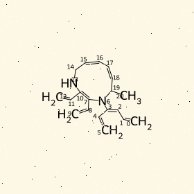 C=C/C=C(\C=C)N1/C(C=C)=C(/C=C)NC/C=C\C=C/C1C